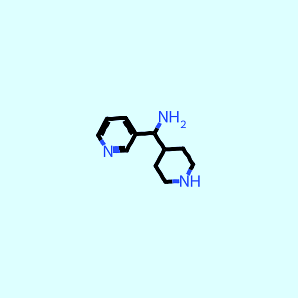 NC(c1cccnc1)C1CCNCC1